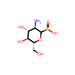 N[C@H]1C(S(=O)O)O[C@H](CO)[C@@H](O)[C@@H]1O